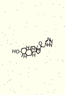 CC1[C@H](O)CC[C@@H]2[C@H]3CC[C@]4(C)[C@@H](C(=O)Cn5cnnn5)CC[C@H]4[C@@H]3CC[C@H]12